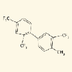 Cc1ccc(-c2ccc(C(F)(F)F)cc2C(F)(F)F)cc1C(F)(F)F